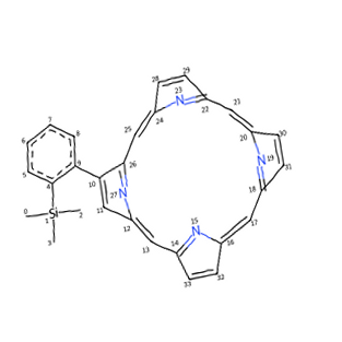 C[Si](C)(C)c1ccccc1C1=CC2=CC3=NC(=CC4=NC(=CC5=NC(=CC1=N2)C=C5)C=C4)C=C3